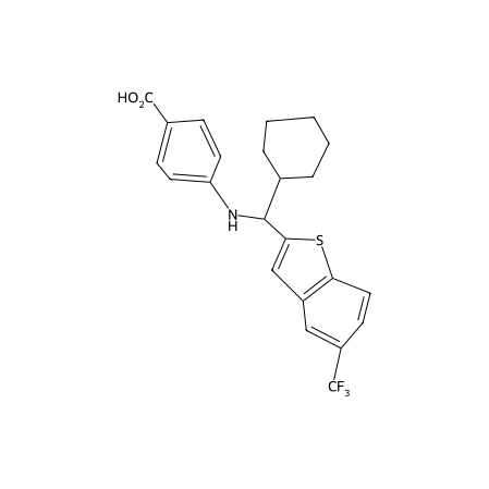 O=C(O)c1ccc(NC(c2cc3cc(C(F)(F)F)ccc3s2)C2CCCCC2)cc1